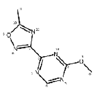 COc1ncnc(-c2noc(C)n2)n1